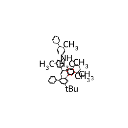 Cc1cc(NC2=C[C@H](C)C(C3C=CC=CC3)C=C2)cc(/C(=C/c2c(-c3ccccc3)cc(C(C)(C)C)cc2-c2ccccc2)c2ccc3c(c2)C(C)(C)CCC3(C)C)c1